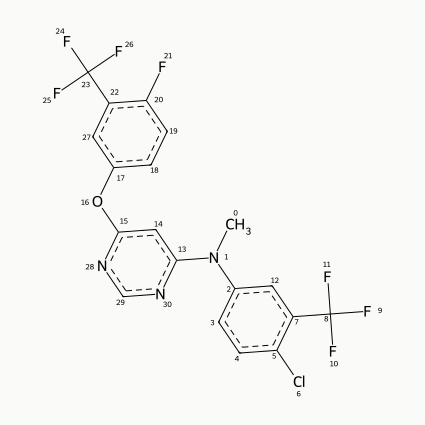 CN(c1ccc(Cl)c(C(F)(F)F)c1)c1cc(Oc2ccc(F)c(C(F)(F)F)c2)ncn1